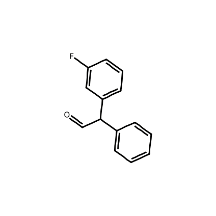 O=CC(c1ccccc1)c1cccc(F)c1